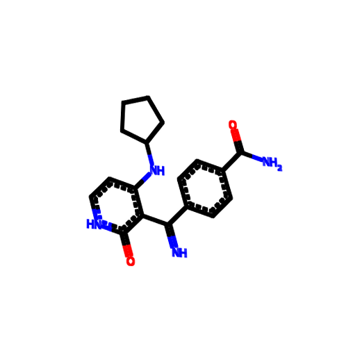 N=C(c1ccc(C(N)=O)cc1)c1c(NC2CCCC2)cc[nH]c1=O